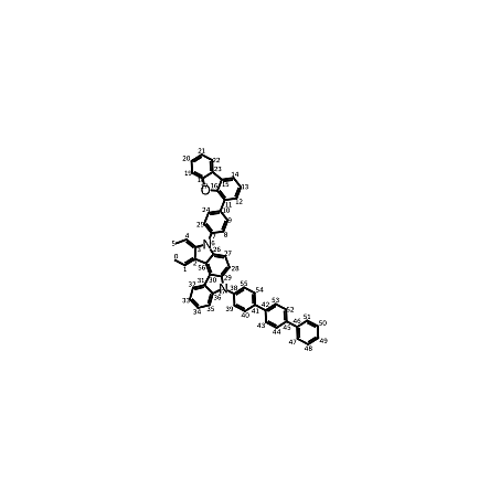 C/C=c1\c(=C/C)n(-c2ccc(-c3cccc4c3oc3ccccc34)cc2)c2ccc3c(c4ccccc4n3-c3ccc(-c4ccc(-c5ccccc5)cc4)cc3)c12